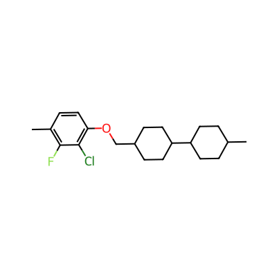 Cc1ccc(OCC2CCC(C3CCC(C)CC3)CC2)c(Cl)c1F